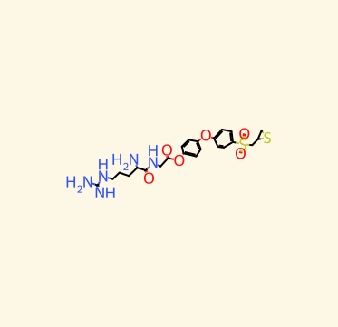 N=C(N)NCCCC(N)C(=O)NCC(=O)Oc1ccc(Oc2ccc(S(=O)(=O)CC3CS3)cc2)cc1